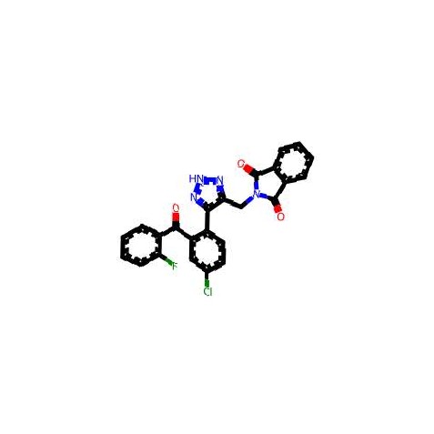 O=C(c1ccccc1F)c1cc(Cl)ccc1-c1n[nH]nc1CN1C(=O)c2ccccc2C1=O